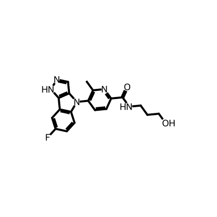 Cc1nc(C(=O)NCCCO)ccc1-n1c2ccc(F)cc2c2[nH]ncc21